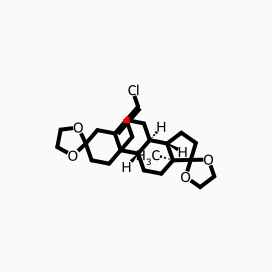 C[C@]12CC[C@H]3[C@@H](CC=C4CC5(CCC43CC=CCl)OCCO5)[C@@H]1CCC21OCCO1